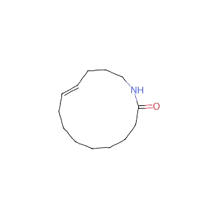 O=C1CCCCCCC/C=C/CCCN1